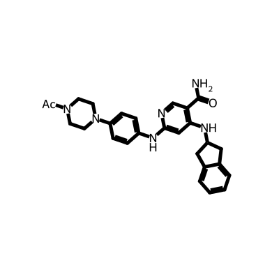 CC(=O)N1CCN(c2ccc(Nc3cc(NC4Cc5ccccc5C4)c(C(N)=O)cn3)cc2)CC1